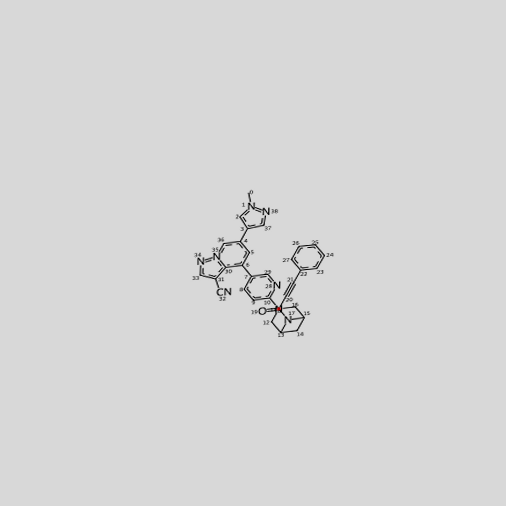 Cn1cc(-c2cc(-c3ccc(N4CC5CC(C4)N5C(=O)C#Cc4ccccc4)nc3)c3c(C#N)cnn3c2)cn1